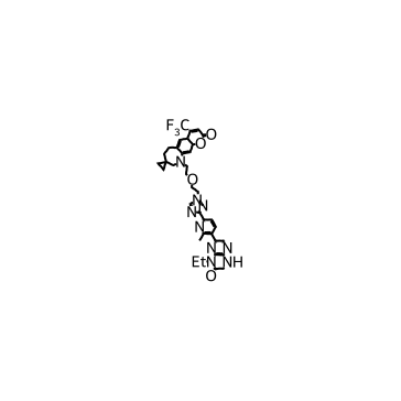 CCN1C(=O)CNc2ncc(-c3ccc(-c4ncn(CCOCCN5CC6(CCC7=CC8C(C(F)(F)F)=CC(=O)OC8C=C75)CC6)n4)nc3C)nc21